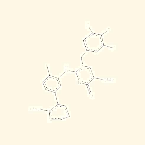 COc1ncccc1-c1ccc(C)c(Nc2nc(=O)c(OC)cn2Cc2cc(F)c(F)c(F)c2)c1